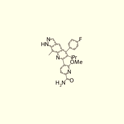 COc1nc(C(N)=O)ccc1-c1nc2c(C)c3[nH]ncc3cc2c(-c2ccc(F)cc2)c1C(C)C